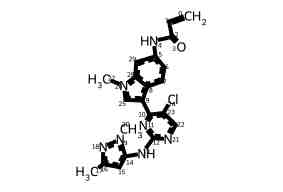 C=CC(=O)Nc1ccc2c(-c3nc(Nc4cc(C)nn4C)ncc3Cl)cn(C)c2c1